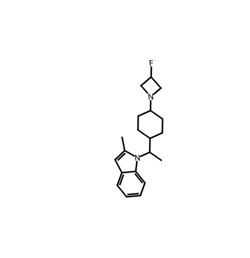 Cc1cc2ccccc2n1C(C)C1CCC(N2CC(F)C2)CC1